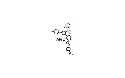 COc1c(OCC2=CC=C(C(C)=O)C2)cccc1C1CC(c2ccc(C)cc2)=CC1C(=O)c1ccccc1C